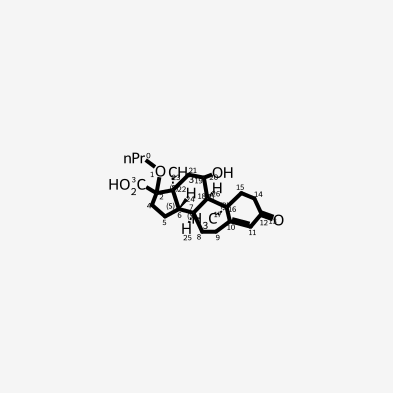 CCCOC1(C(=O)O)CC[C@H]2[C@@H]3CCC4=CC(=O)CC[C@]4(C)[C@@H]3C(O)C[C@@]21C